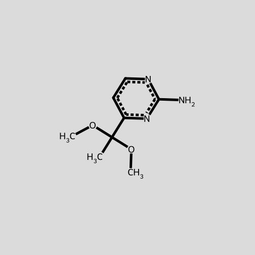 COC(C)(OC)c1ccnc(N)n1